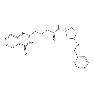 O=C(CCCc1nc2ccccc2c(=O)[nH]1)N[C@@H]1CCC(OCc2ccccc2)C1